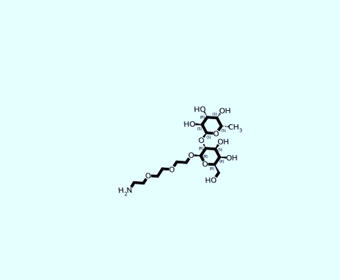 C[C@@H]1O[C@@H](O[C@H]2[C@H](OCCOCCOCCN)O[C@H](CO)[C@H](O)[C@@H]2O)[C@@H](O)[C@H](O)[C@@H]1O